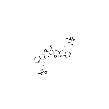 C[SH](C)NC(=O)CCCN1/C(=C/C2=C(O)C(=C/c3ccc4ccccc4[n+]3CCCS(=O)(=O)O)/C(=O)C2=O)C=Cc2ccccc21